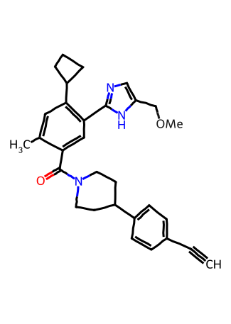 C#Cc1ccc(C2CCN(C(=O)c3cc(-c4ncc(COC)[nH]4)c(C4CCC4)cc3C)CC2)cc1